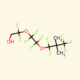 CC(C)(C(F)(F)F)C(F)(F)OC(F)(F)C(F)(F)OC(F)(F)CO